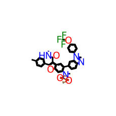 CNC(=O)c1c(-c2ccc(C)cc2)oc2cc(N(C)S(C)(=O)=O)c(-c3ccc4ncn(-c5ccc(OC(F)(F)F)cc5)c4c3)cc12